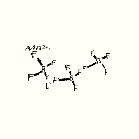 F[B-](F)(F)F.F[B-](F)(F)F.F[B-](F)(F)F.[Li+].[Mn+2]